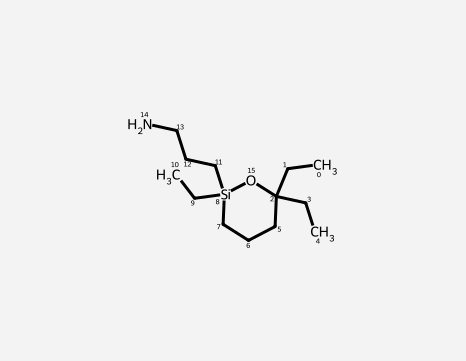 CCC1(CC)CCC[Si](CC)(CCCN)O1